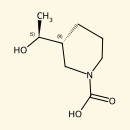 C[C@H](O)[C@@H]1CCCN(C(=O)O)C1